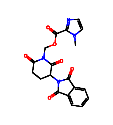 Cn1ccnc1C(=O)OCN1C(=O)CCC(N2C(=O)c3ccccc3C2=O)C1=O